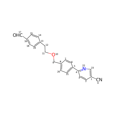 N#Cc1ccc(-c2ccc(COCCc3ccc(C=O)cc3)cc2)nc1